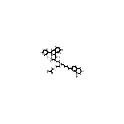 O=C(O)[C@H](CCN(CCCCc1ccc2c(n1)NCCC2)CCOCC(F)F)Nc1nc(-c2cccnc2)nc2ccccc12